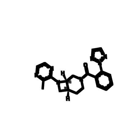 Cc1nccnc1N1C[C@@H]2CCN(C(=O)c3ccccc3-n3nccn3)C[C@@H]21